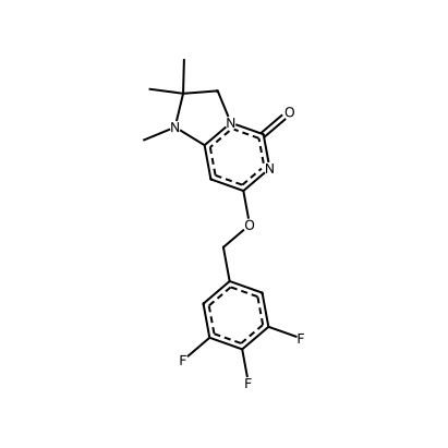 CN1c2cc(OCc3cc(F)c(F)c(F)c3)nc(=O)n2CC1(C)C